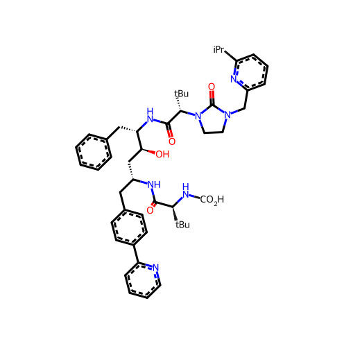 CC(C)c1cccc(CN2CCN([C@H](C(=O)N[C@@H](Cc3ccccc3)[C@@H](O)C[C@@H](Cc3ccc(-c4ccccn4)cc3)NC(=O)[C@@H](NC(=O)O)C(C)(C)C)C(C)(C)C)C2=O)n1